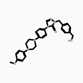 COc1ccc(N2CCN(c3ccc(-n4cnn(Cc5ccc(CO)cc5)c4=O)cc3)CC2)cc1